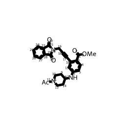 COC(=O)c1ccc(NC2CCN(C(C)=O)CC2)cc1C#CCN1C(=O)c2ccccc2C1=O